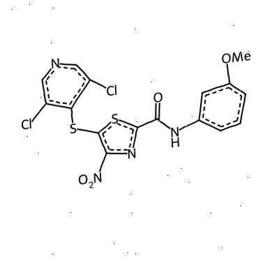 COc1cccc(NC(=O)c2nc([N+](=O)[O-])c(Sc3c(Cl)cncc3Cl)s2)c1